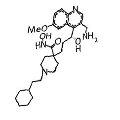 COc1ccc2ncc(CN)c([C@H](O)CCC3(C(=O)NO)CCN(CCC4CCCCC4)CC3)c2c1